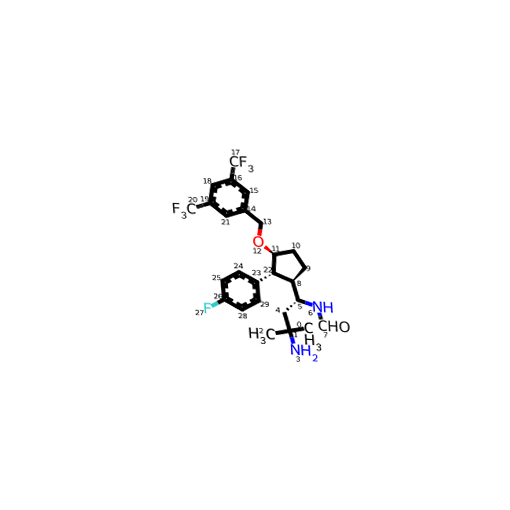 CC(C)(N)C[C@@H](NC=O)[C@@H]1CC[C@H](OCc2cc(C(F)(F)F)cc(C(F)(F)F)c2)[C@H]1c1ccc(F)cc1